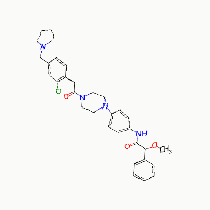 COC(C(=O)Nc1ccc(N2CCN(C(=O)Cc3ccc(CN4CCCC4)cc3Cl)CC2)cc1)c1ccccc1